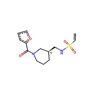 C=CS(=O)(=O)NC[C@H]1CCCN(C(=O)c2ccco2)C1